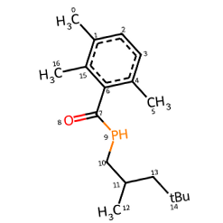 Cc1ccc(C)c(C(=O)PCC(C)CC(C)(C)C)c1C